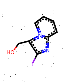 OCc1c(I)nc2ccccn12